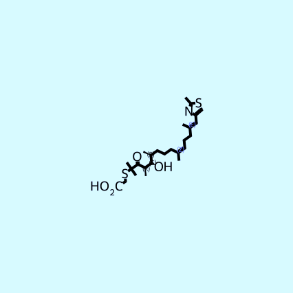 C/C(=C/CC/C(C)=C/c1csc(C)n1)CCC[C@H](C)[C@H](O)[C@@H](C)C(=O)C(C)(C)SCC(=O)O